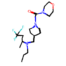 CCCN(CC1CCN(C(=O)N2CCOCC2)CC1)C(C)CC(F)(F)F